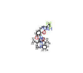 O=C1N[C@H](C(F)(F)F)CN1Cc1ccc2oc([C@@H](NC(=O)C3(c4ccccc4)CC3)C(C3CC3)C3CC3)nc2c1